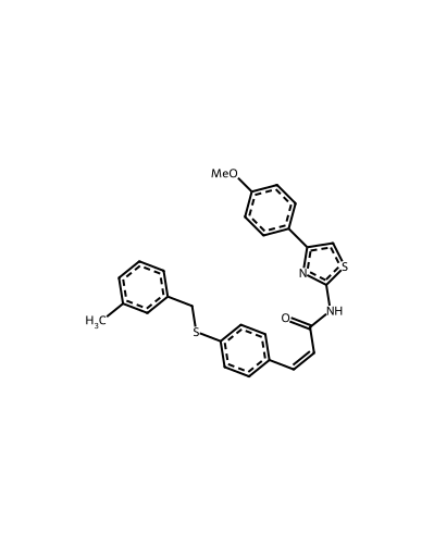 COc1ccc(-c2csc(NC(=O)/C=C\c3ccc(SCc4cccc(C)c4)cc3)n2)cc1